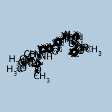 CCO[C@H]1C[C@@H](c2nc3ccc4cc5c(cc4c3[nH]2)OCc2cc(-c3cnc([C@@H]4CCCN4C(=O)[C@H](NC(=O)OC)c4ccccc4)[nH]3)ccc2-5)N(C(=O)[C@@H](NC(=O)OC)C(C)C)C1